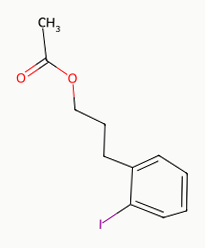 CC(=O)OCCCc1ccccc1I